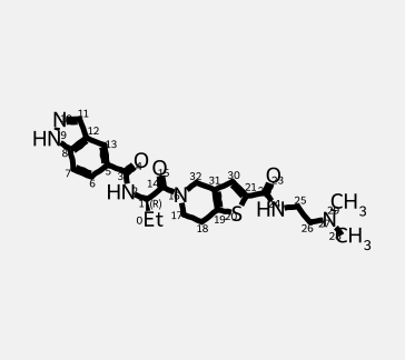 CC[C@@H](NC(=O)c1ccc2[nH]ncc2c1)C(=O)N1CCc2sc(C(=O)NCCN(C)C)cc2C1